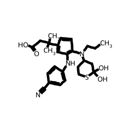 CCCN(c1ccc(C(C)(C)CC(=O)O)cc1Nc1ccc(C#N)cc1)C1CCSC(O)(O)C1